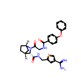 N=C(N)c1csc(CNC(=O)[C@@H]2[C@@H]3CC[C@@H](C3)N2C(=O)CNC(=O)c2ccc(Oc3ccccc3)cc2)c1